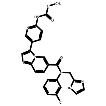 COC(=O)Nc1ccc(-c2cnc3ccc(C(=O)N(Cc4ncc[nH]4)c4cccc(Cl)c4)cn23)cn1